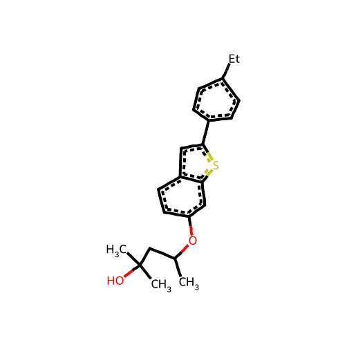 CCc1ccc(-c2cc3ccc(OC(C)CC(C)(C)O)cc3s2)cc1